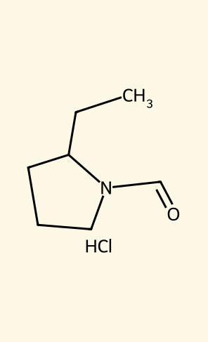 CCC1CCCN1C=O.Cl